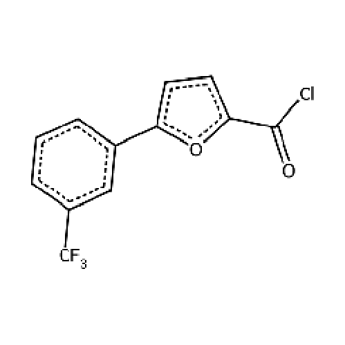 O=C(Cl)c1ccc(-c2cccc(C(F)(F)F)c2)o1